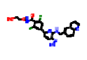 N=Nc1ccc(-c2cc(F)c(C(=O)NOCCO)c(F)c2)nc1NCc1ccc2ncccc2c1